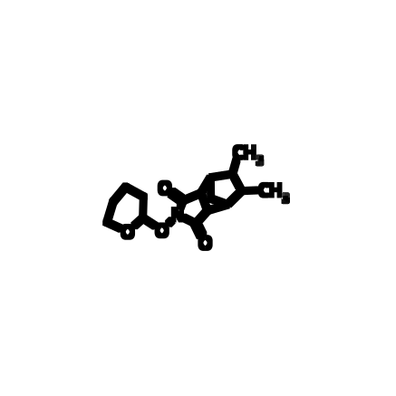 CC1C(C)C2CC1C1C(=O)N(OC3CCCCO3)C(=O)C21